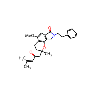 COc1cc2c(c3c1CCC(C)(CC(=O)C=C(C)C)O3)CN(CCc1ccccc1)C2=O